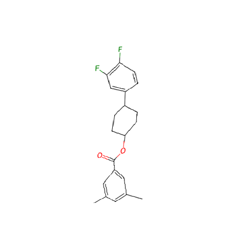 Cc1cc(C)cc(C(=O)OC2CCC(c3ccc(F)c(F)c3)CC2)c1